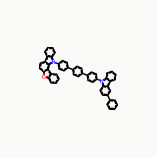 c1ccc(-c2ccc3c(c2)c2ccccc2n3-c2ccc(-c3ccc(-c4ccc(-n5c6ccccc6c6ccc7oc8ccccc8c7c65)cc4)cc3)cc2)cc1